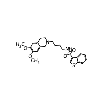 COc1cc2c(cc1OC)CN(CCCCNS(=O)(=O)c1csc3ccccc13)CC2